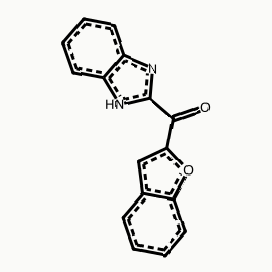 O=C(c1nc2ccccc2[nH]1)c1cc2ccccc2o1